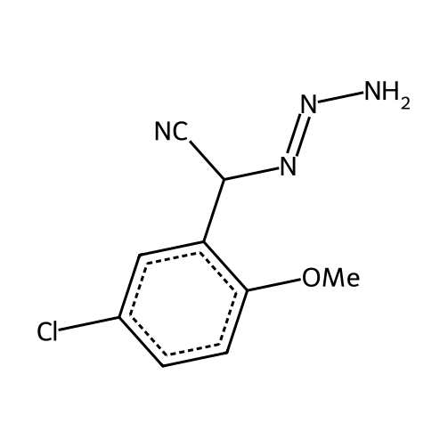 COc1ccc(Cl)cc1C(C#N)N=NN